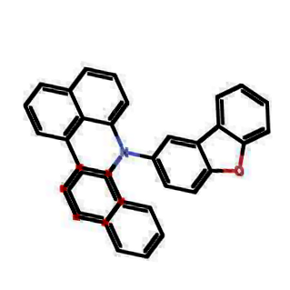 c1ccc(-c2cccc3cccc(N(c4ccc5oc6ccccc6c5c4)c4cccc5ccccc45)c23)cc1